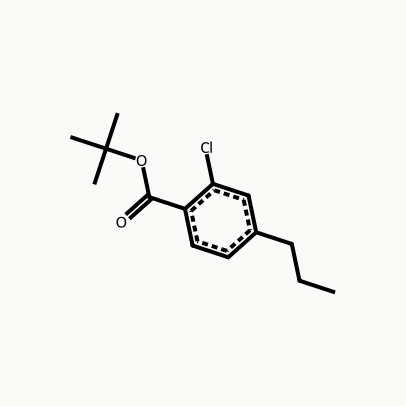 CCCc1ccc(C(=O)OC(C)(C)C)c(Cl)c1